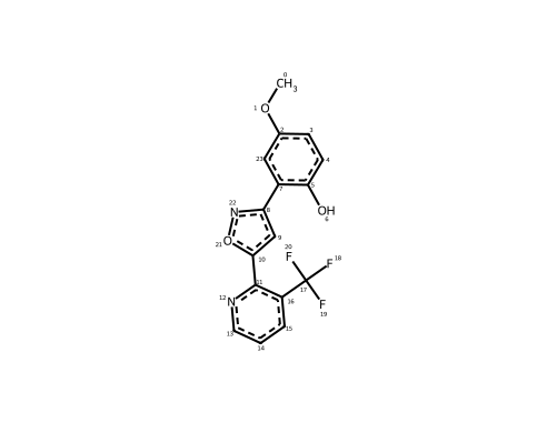 COc1ccc(O)c(-c2cc(-c3ncccc3C(F)(F)F)on2)c1